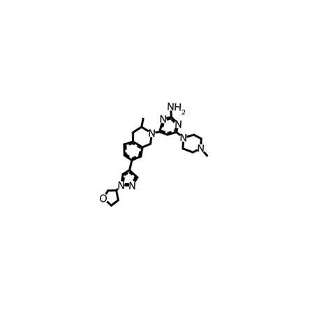 CC1Cc2ccc(-c3cnn(C4CCOC4)c3)cc2CN1c1cc(N2CCN(C)CC2)nc(N)n1